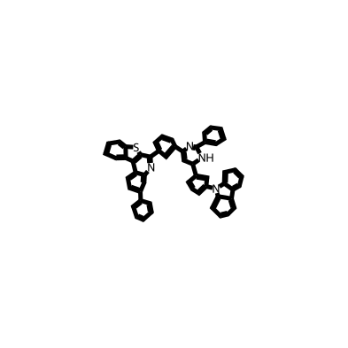 C1=C(c2cccc(-c3nc4cc(-c5ccccc5)ccc4c4c3sc3ccccc34)c2)N=C(c2ccccc2)NC1c1cccc(-n2c3ccccc3c3ccccc32)c1